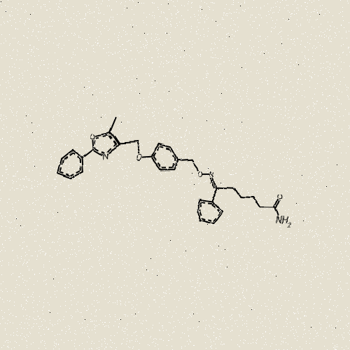 Cc1oc(-c2ccccc2)nc1COc1ccc(CON=C(CCCCC(N)=O)c2ccccc2)cc1